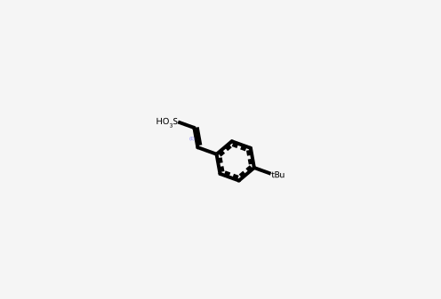 CC(C)(C)c1ccc(/C=C/S(=O)(=O)O)cc1